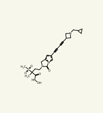 CC(CCN1Cc2cc(C#CC#CC3CN(CC4CC4)C3)cn2C1=O)(C(=O)NO)S(C)(=O)=O